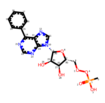 CP(=O)(O)OOC[C@H]1O[C@@H](n2cnc3c(-c4ccccc4)ncnc32)[C@H](O)[C@@H]1O